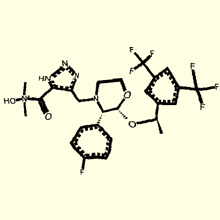 C[C@@H](O[C@H]1OCCN(Cc2nn[nH]c2C(=O)[N+](C)(C)O)[C@H]1c1ccc(F)cc1)c1cc(C(F)(F)F)cc(C(F)(F)F)c1